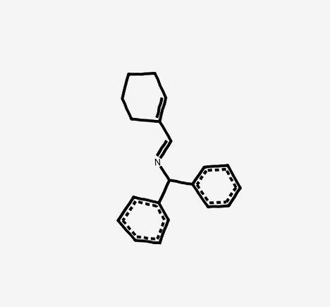 C(=NC(c1ccccc1)c1ccccc1)C1=CCCCC1